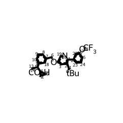 CC(C)(C)Cc1cc(OCc2cccc(C(CC(=O)O)C3CC3)c2)cnc1-c1cccc(OC(F)(F)F)c1